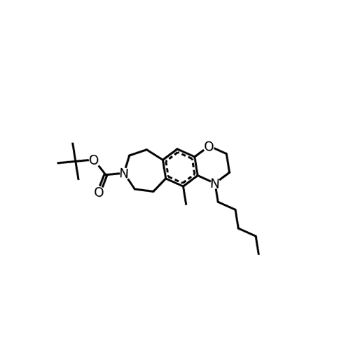 CCCCCN1CCOc2cc3c(c(C)c21)CCN(C(=O)OC(C)(C)C)CC3